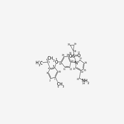 Cc1ccc(C(C)C)c(Oc2ccc([N+]3(S(=O)(=O)C4CC4)C=C(CN)C=CC3)cc2)c1